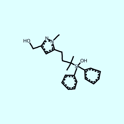 Cn1nc(CO)cc1CCC(C)(C)[Si](O)(c1ccccc1)c1ccccc1